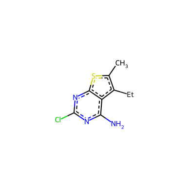 CCc1c(C)sc2nc(Cl)nc(N)c12